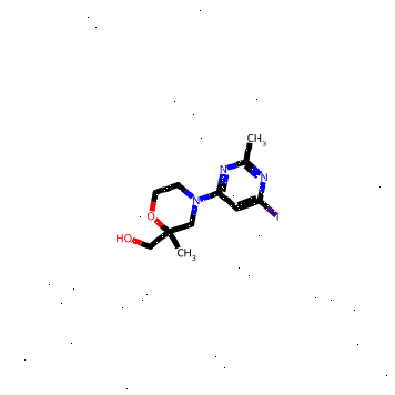 Cc1nc(I)cc(N2CCOC(C)(CO)C2)n1